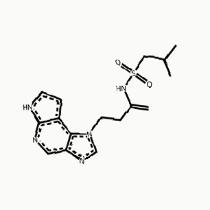 C=C(CCn1cnc2cnc3[nH]ccc3c21)NS(=O)(=O)CC(C)C